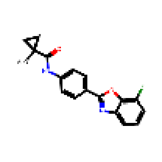 CC(=O)OC1(C(=O)Nc2ccc(-c3nc4cccc(F)c4o3)cc2)CC1